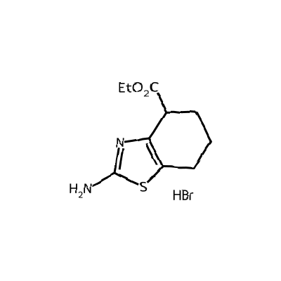 Br.CCOC(=O)C1CCCc2sc(N)nc21